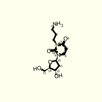 NCCCn1c(=O)ccn([C@H]2C[C@H](O)[C@@H](CO)O2)c1=O